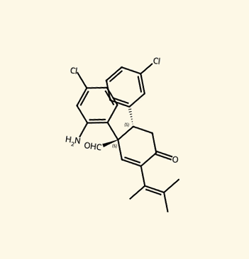 CC(C)=C(C)C1=C[C@](C=O)(c2ccc(Cl)cc2N)[C@H](c2cccc(Cl)c2)CC1=O